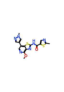 COc1ncc(-c2cnn(C)c2)c2sc(NC(=O)c3cnc(C)s3)nc12